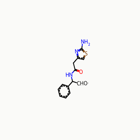 Nc1nc(CC(=O)NC([C]=O)c2ccccc2)cs1